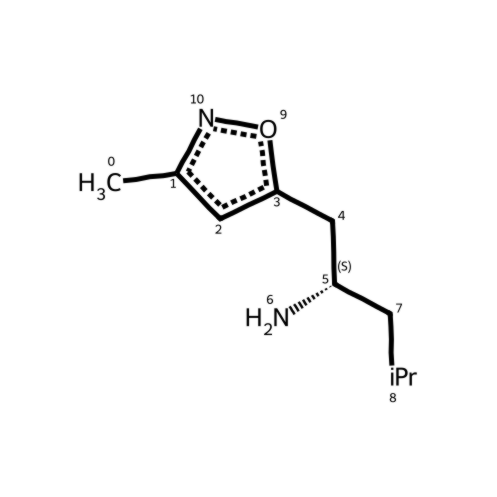 Cc1cc(C[C@@H](N)CC(C)C)on1